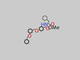 COC(=O)[C@H](CC1CCCCC1)NC(=O)c1ccc(OCc2cccc(OCc3ccccc3)c2)cc1